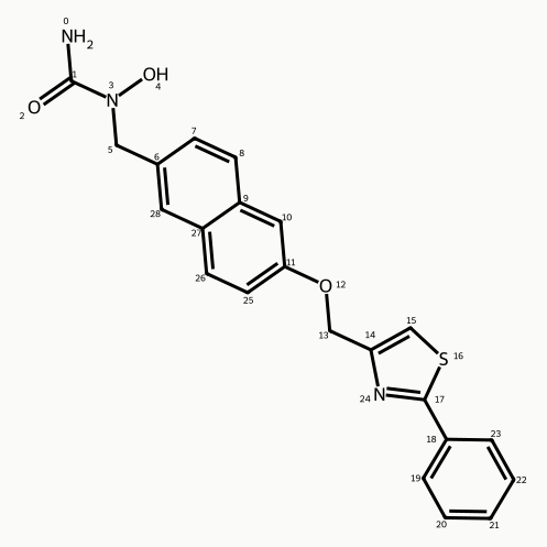 NC(=O)N(O)Cc1ccc2cc(OCc3csc(-c4ccccc4)n3)ccc2c1